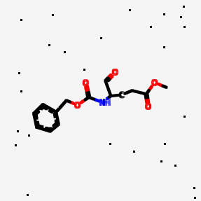 COC(=O)CCC(C=O)NC(=O)OCc1ccccc1